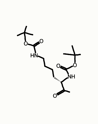 CC(=O)[C@H](CCCCNC(=O)OC(C)(C)C)NC(=O)OC(C)(C)C